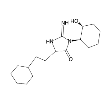 N=C1NC(CCC2CCCCC2)C(=O)N1[C@@H]1CCCC[C@@H]1O